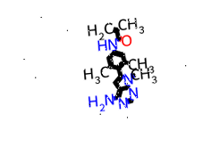 C=C(C)C(=O)Nc1cc(C)c(-c2cc3c(N)ncnc3n2C)c(C)c1